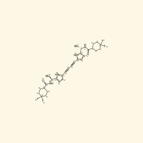 CC(C)(C)[C@H](NC(=O)C1CCC(F)(F)CC1)c1ncc(C#CC#Cc2cnc([C@@H](NC(=O)C3CCC(F)(F)CC3)C(C)(C)C)[nH]2)[nH]1